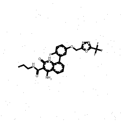 CCCNC(=O)c1c(N)c2cccc(-c3cc(OCc4nnc(C(F)(F)F)o4)ccc3F)c2[nH]c1=O